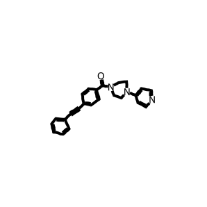 O=C(c1ccc(C#Cc2ccccc2)cc1)N1CCN(c2ccncc2)CC1